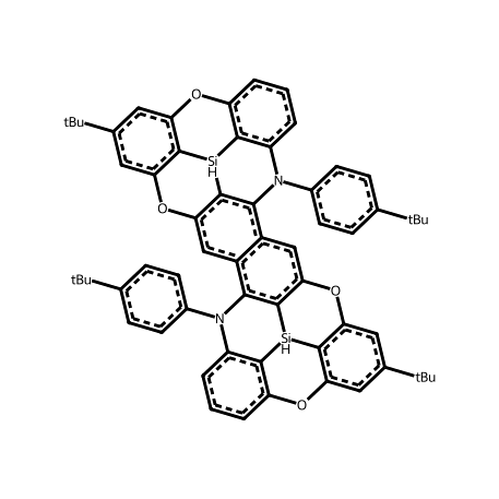 CC(C)(C)c1ccc(N2c3cccc4c3[SiH]3c5c(cc(C(C)(C)C)cc5Oc5cc6c7c8c(cc6c2c53)Oc2cc(C(C)(C)C)cc3c2[SiH]8c2c(cccc2N7c2ccc(C(C)(C)C)cc2)O3)O4)cc1